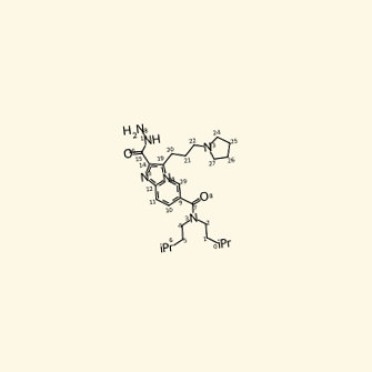 CC(C)CCN(CCC(C)C)C(=O)c1ccc2nc(C(=O)NN)c(CCCN3CCCC3)n2c1